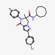 CCc1ccc(-c2cc3n(n2)CC(C)(C(=O)NC2CCCCCCC2)N(c2ccc(C)cc2)C3=O)cc1